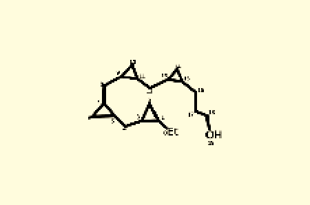 CCC1CC1CC1CC1CC1CC1CC1CC1CCCO